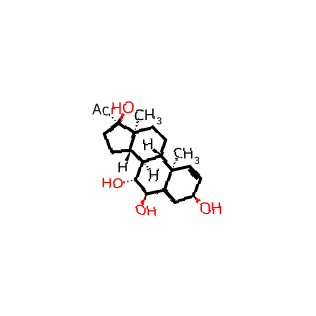 CC(=O)[C@@]1(O)CC[C@H]2[C@@H]3[C@@H](O)[C@H](O)C4C[C@H](O)C=C[C@]4(C)[C@H]3CC[C@@]21C